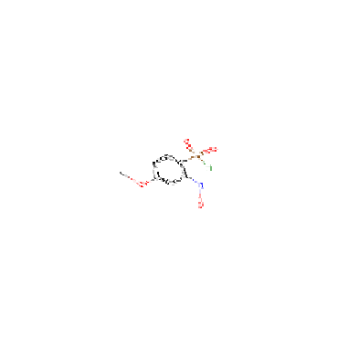 COc1ccc(S(=O)(=O)Cl)c(N=O)c1